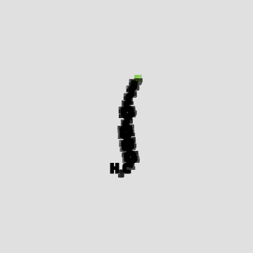 CC[C@H]1CC[C@H](c2ccc(-c3ccc(CC[C@H]4CC[C@H](CCCCCCCF)CC4)cc3)cc2)CC1